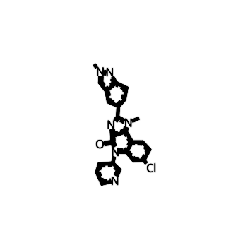 Cn1cc2cc(-c3nc4c(=O)n(-c5cccnc5)c5cc(Cl)ccc5c4n3C)ccc2n1